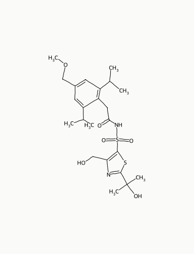 COCc1cc(C(C)C)c(CC(=O)NS(=O)(=O)c2sc(C(C)(C)O)nc2CO)c(C(C)C)c1